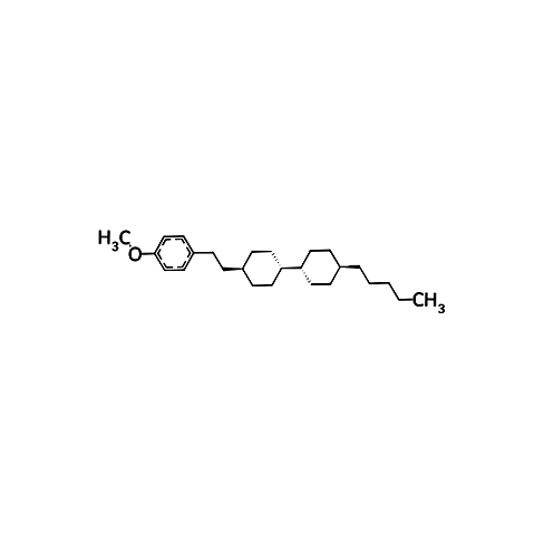 CCCCC[C@H]1CC[C@H]([C@H]2CC[C@H](CCc3ccc(OC)cc3)CC2)CC1